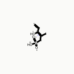 C=C/C(O)=C(\C)CS(=O)(=O)O